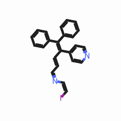 I\C=C/N=C\C=C\C(=C(c1ccccc1)c1ccccc1)c1ccncc1